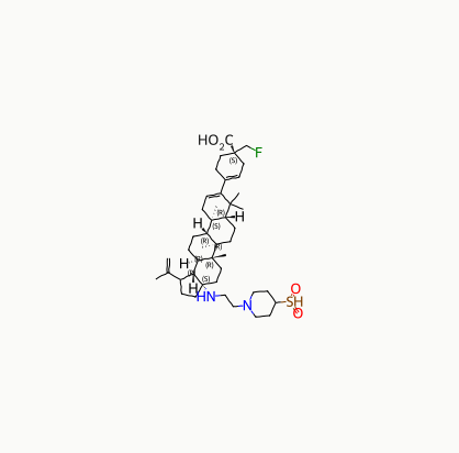 C=C(C)C1CC[C@]2(NCCN3CCC([SH](=O)=O)CC3)CC[C@]3(C)[C@H](CC[C@@H]4[C@@]5(C)CC=C(C6=CC[C@](CF)(C(=O)O)CC6)C(C)(C)[C@@H]5CC[C@]43C)[C@@H]12